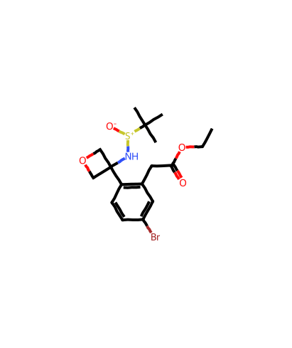 CCOC(=O)Cc1cc(Br)ccc1C1(N[S+]([O-])C(C)(C)C)COC1